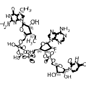 CC[C@H]1[C@@H](O)[C@H](n2c[n+](C)c3c(=O)[nH]c(N)nc32)O[C@@H]1COP(=O)(O)OP(=O)(O)OP(=O)(O)OC[C@H]1O[C@@H](n2cnc3c(N)ncnc32)[C@H](F)[C@@H]1OP(=O)([O-])OC[C@H]1O[C@@H](n2ccc(=O)[nH]c2=O)[C@H](O)[C@@H]1O